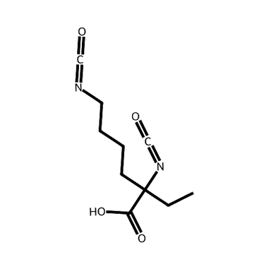 CCC(CCCCN=C=O)(N=C=O)C(=O)O